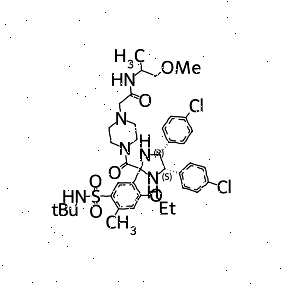 CCOc1cc(C)c(S(=O)(=O)NC(C)(C)C)cc1C1(C(=O)N2CCN(CC(=O)NC(C)COC)CC2)N[C@H](c2ccc(Cl)cc2)[C@H](c2ccc(Cl)cc2)N1